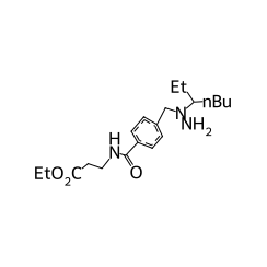 CCCCC(CC)N(N)Cc1ccc(C(=O)NCCC(=O)OCC)cc1